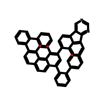 c1ccc(-c2ccccc2-c2ccc3ccc4c(-c5ccccc5-c5ccccc5)cc(-c5ccc6c7c(cccc57)-c5ncncc5-6)c5ccc2c3c45)cc1